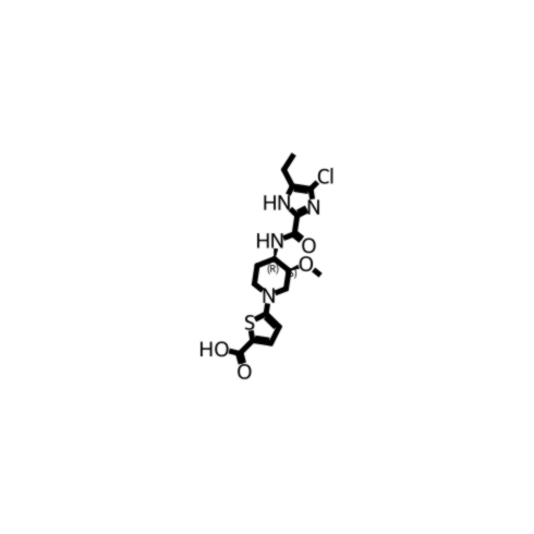 CCc1[nH]c(C(=O)N[C@@H]2CCN(c3ccc(C(=O)O)s3)C[C@@H]2OC)nc1Cl